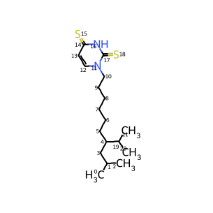 CC(C)CC(CCCCCCn1ccc(=S)[nH]c1=S)C(C)C